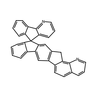 c1ccc2c(c1)-c1cc3c(cc1C21c2ccccc2-c2ncccc21)Cc1c-3ccc2cccnc12